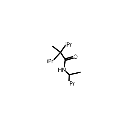 CC(C)C(C)NC(=O)C(C)(C(C)C)C(C)C